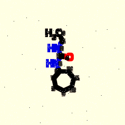 C[CH]NC(=O)NC1CCCCCC1